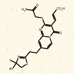 CC(C)C1(I)CSC(CCc2ccn3c(=O)c(C=CC(=O)O)c(SCC(N)=O)nc3c2)=N1